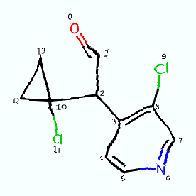 O=CC(c1ccncc1Cl)C1(Cl)CC1